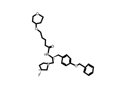 O=C(CCCCOC1CCOCC1)N[C@@H](Cc1ccc(OCc2ccccc2)cc1)CN1CC[C@@H](F)C1